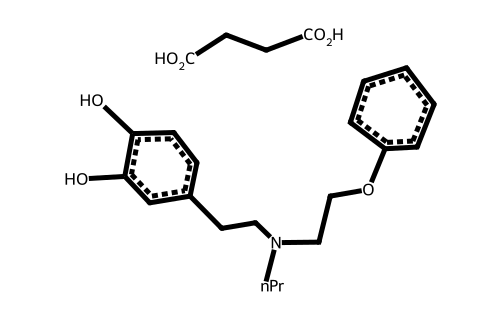 CCCN(CCOc1ccccc1)CCc1ccc(O)c(O)c1.O=C(O)CCC(=O)O